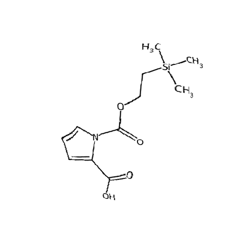 C[Si](C)(C)CCOC(=O)n1cccc1C(=O)O